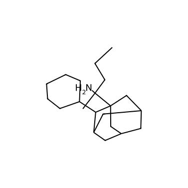 CCCC(C)(N)C12CC3CC(CC(C3)C1C1CCCCC1)C2